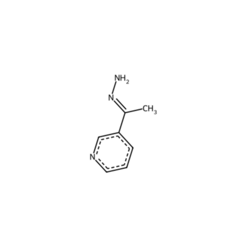 CC(=NN)c1cccnc1